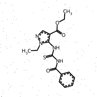 CCOC(=O)c1cnn(CC)c1NC(=S)NC(=O)c1ccccc1